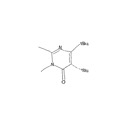 Cc1nc(C(C)(C)C)c(C(C)(C)C)c(=O)n1C